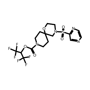 O=C(OC(C(F)(F)F)C(F)(F)F)N1CCC2(CC1)CN(S(=O)(=O)c1cnccn1)CCO2